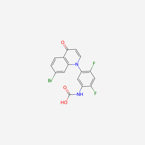 O=C(O)Nc1cc(-n2ccc(=O)c3ccc(Br)cc32)c(F)cc1F